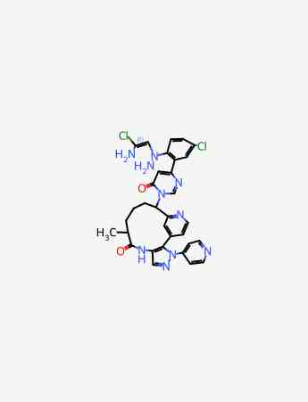 CC1CCCC(n2cnc(-c3cc(Cl)ccc3N(N)/C=C(\N)Cl)cc2=O)c2cc(ccn2)-c2c(cnn2-c2ccncc2)NC1=O